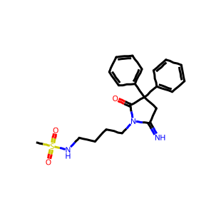 CS(=O)(=O)NCCCCN1C(=N)CC(c2ccccc2)(c2ccccc2)C1=O